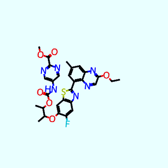 CCOc1cnc2c(-c3nc4cc(F)c(OC(C)C(C)OC(=O)Nc5cnc(C(=O)OC)nc5)cc4s3)cc(C)cc2n1